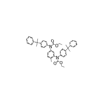 CCOC(=O)N(c1ccc(C(C)(C)c2ccccc2)cc1)c1ccc(C)c(N(C(=O)OCC)c2ccc(C(C)(C)c3ccccc3)cc2)c1